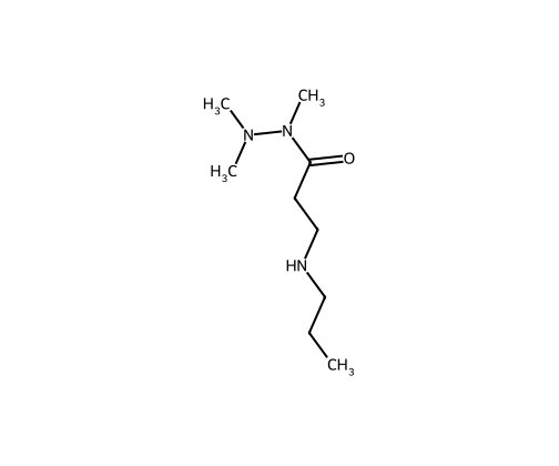 CCCNCCC(=O)N(C)N(C)C